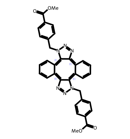 COC(=O)c1ccc(Cn2nnc3/c2=c2/cccc/c2=c2\nnn(Cc4ccc(C(=O)OC)cc4)\c2=c2/cccc/c2=3)cc1